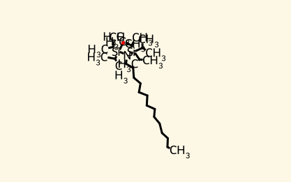 CCCCCCCCCCCCCCN([Si](C(C)C)(C(C)C)C(C)C)[Si](C(C)C)(C(C)C)C(C)C